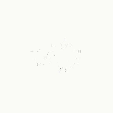 CC[C@H]1OC(=O)[C@H](C)[C@@H](O[C@H]2CC(NC)[C@H](O)[C@@H](C)O2)[C@H](C)[C@@H](O)[C@](C)(O)C[C@@H](C)C(=O)[C@H](C)[C@@H](O)[C@H]1C